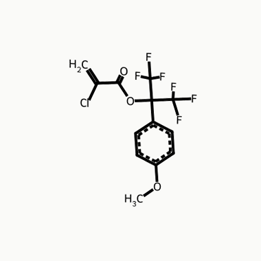 C=C(Cl)C(=O)OC(c1ccc(OC)cc1)(C(F)(F)F)C(F)(F)F